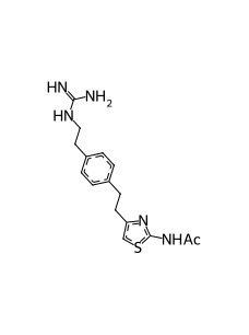 CC(=O)Nc1nc(CCc2ccc(CCNC(=N)N)cc2)cs1